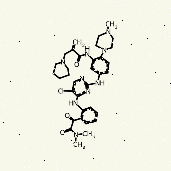 C=C(CN1CCCCC1)C(=O)Nc1cc(Nc2ncc(Cl)c(Nc3ccccc3C(=O)C(=O)N(C)C)n2)ccc1N1CCN(C)CC1